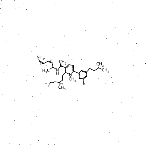 C=C(NC(C)/C=C\C=C/N)C1=CC=C(c2cc(F)cc(CCC(C)C)c2)N(C)C1CC[C@H](C)CC